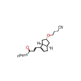 CCCCCC(=O)C=CC1=CC[C@@H]2C[C@@H](OCCCC#N)C[C@@H]12